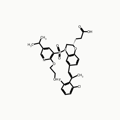 C/C(=C\c1ccc2c(c1)N(S(=O)(=O)c1cc(C(C)C)cnc1OCCO)C[C@H](CCC(=O)O)O2)c1c(F)cccc1Cl